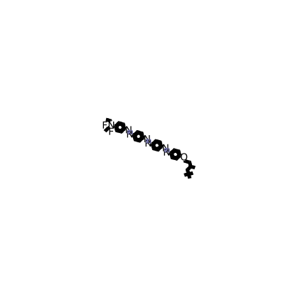 CCN(c1ccc(/N=N/c2ccc(/N=N/c3ccc(/N=N/c4ccc(OCCC(C)CC(C)(C)C)cc4)cc3)cc2)cc1)C(C)(F)F